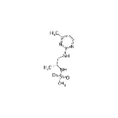 Cc1ccnc(NC[C@@H](C)NS(C)(=O)=O)n1